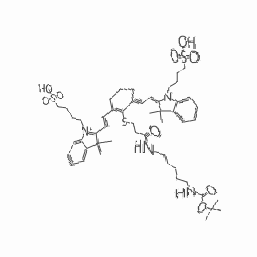 CC(C)(C)OC(=O)NCCCCCNC(=O)CCSC1=C(/C=C/C2=[N+](CCCCS(=O)(=O)O)c3ccccc3C2(C)C)CCC/C1=C\C=C1\N(CCCCS(=O)(=O)O)c2ccccc2C1(C)C